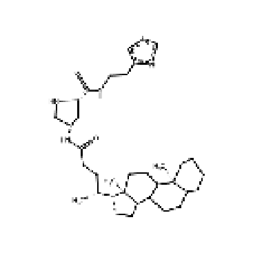 C[C@H](CCC(=O)N[C@@H]1CN[C@H](C(=O)NCCc2cnc[nH]2)C1)[C@H]1CCC2C3CCC4CCCC[C@]4(C)C3CC[C@@]21C